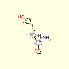 Nc1nc2c(cnn2CCCc2ccc(O)c(I)c2)c2nc(-c3ccco3)nn12